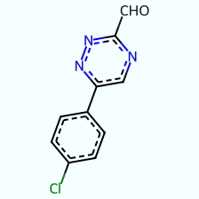 O=Cc1ncc(-c2ccc(Cl)cc2)nn1